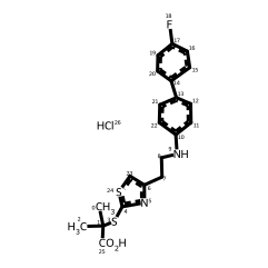 CC(C)(Sc1nc(CCNc2ccc(-c3ccc(F)cc3)cc2)cs1)C(=O)O.Cl